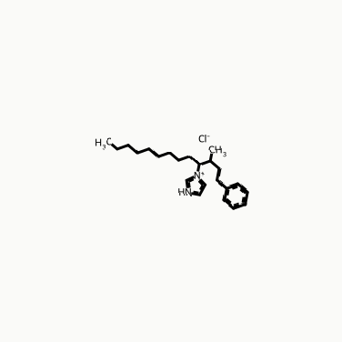 CCCCCCCCCC(C(C)CCc1ccccc1)[n+]1cc[nH]c1.[Cl-]